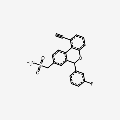 C#Cc1cccc2c1-c1ccc(CS(N)(=O)=O)cc1C(c1cccc(F)c1)O2